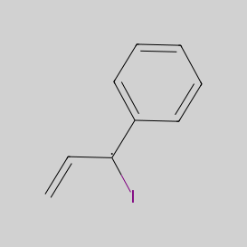 C=C[C](I)c1ccccc1